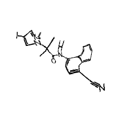 CC(C)(C(=O)Nc1ccc(C#N)c2ccccc12)n1cc(I)cn1